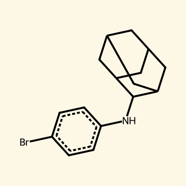 Brc1ccc(NC2C3CC4CC(C3)CC2C4)cc1